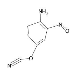 N#COc1ccc(N)c(N=O)c1